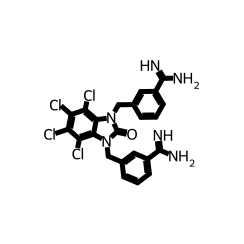 N=C(N)c1cccc(Cn2c(=O)n(Cc3cccc(C(=N)N)c3)c3c(Cl)c(Cl)c(Cl)c(Cl)c32)c1